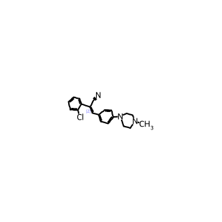 CN1CCN(c2ccc(/C=C(\C#N)c3ccccc3Cl)cc2)CC1